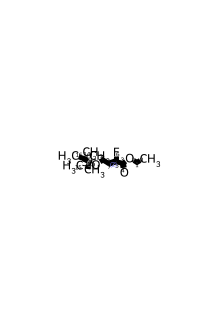 CCOC(=O)/C(F)=C/CO[Si](C)(C)C(C)(C)C